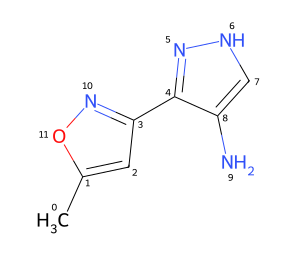 Cc1cc(-c2n[nH]cc2N)no1